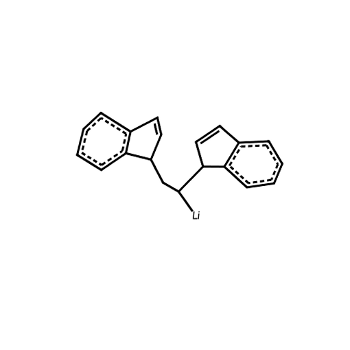 [Li][CH](CC1C=Cc2ccccc21)C1C=Cc2ccccc21